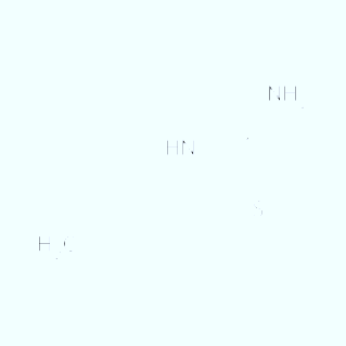 C=C[CH]NC(N)=S